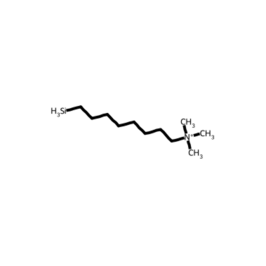 C[N+](C)(C)CCCCCCCC[SiH3]